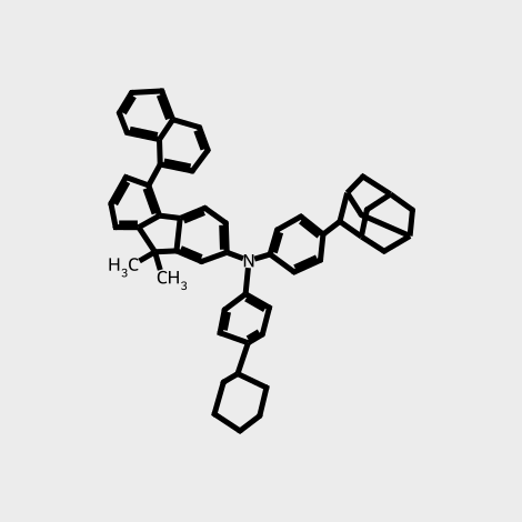 CC1(C)c2cc(N(c3ccc(C4CCCCC4)cc3)c3ccc(C4C5CC6CC(C5)CC4C6)cc3)ccc2-c2c(-c3cccc4ccccc34)cccc21